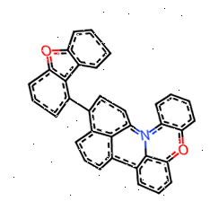 c1ccc2c(c1)oc1cccc(-c3ccc4c5c3cccc5c3cccc5oc6ccccc6n4-c53)c12